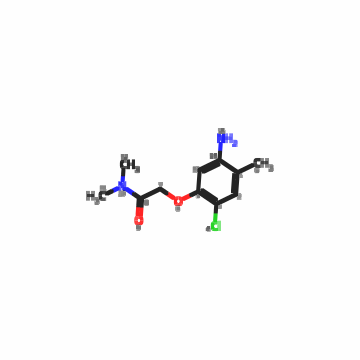 Cc1cc(Cl)c(OCC(=O)N(C)C)cc1N